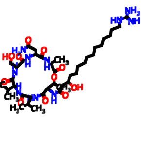 CC1NC(=O)C(CC(N)=O)NC(=O)C(CO)NC(=O)C(C(C)C)NC(=O)C(C(C)C)NC(=O)C(NC(=O)CC(O)CCCCCCCCCCCCNC(=N)N)C(C)OC1=O